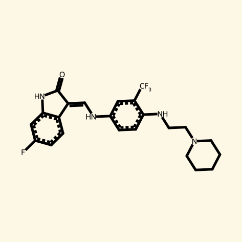 O=C1Nc2cc(F)ccc2C1=CNc1ccc(NCCN2CCCCC2)c(C(F)(F)F)c1